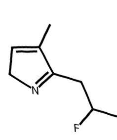 CC1=CCN=C1CC(F)F